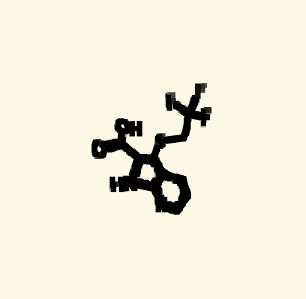 O=C(O)c1[nH]c2ncccc2c1SCC(F)(F)F